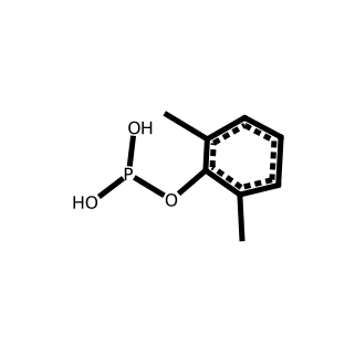 Cc1cccc(C)c1OP(O)O